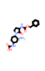 N[C@@H]1CC(NC(=O)O)CC[C@@H]1N1CCC(NC(=O)OCc2ccccc2)C1=O